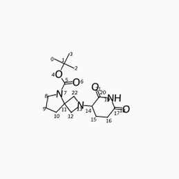 CC(C)(C)OC(=O)N1CCCC12CN(C1CCC(=O)NC1=O)C2